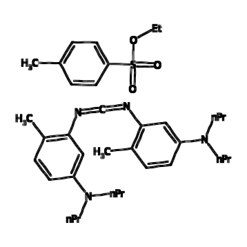 CCCN(CCC)c1ccc(C)c(N=C=Nc2cc(N(CCC)CCC)ccc2C)c1.CCOS(=O)(=O)c1ccc(C)cc1